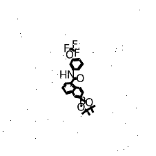 CC1(C)OB(c2ccc3c(C(=O)Nc4cccc(OC(F)(F)F)c4)cccc3c2)OC1(C)C